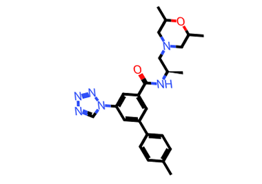 Cc1ccc(-c2cc(C(=O)N[C@H](C)CN3CC(C)OC(C)C3)cc(-n3cnnn3)c2)cc1